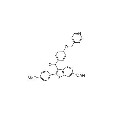 COc1ccc(-c2sc3cc(OC)ccc3c2C(=O)c2ccc(OCc3ccncc3)cc2)cc1